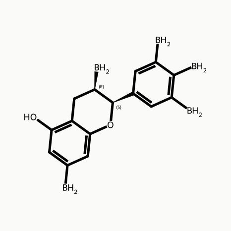 Bc1cc(O)c2c(c1)O[C@H](c1cc(B)c(B)c(B)c1)[C@H](B)C2